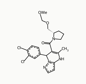 COCOC[C@@H]1CCCN1C(=O)C1=C(C)Nc2ccnn2C1c1ccc(Cl)c(Cl)c1